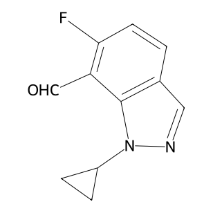 O=Cc1c(F)ccc2cnn(C3CC3)c12